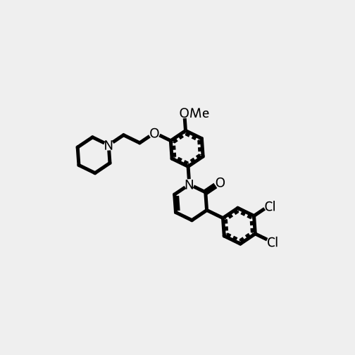 COc1ccc(N2C=CCC(c3ccc(Cl)c(Cl)c3)C2=O)cc1OCCN1CCCCC1